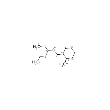 CCCC(CC)OC[C@H]1CCCC[C@H]1C